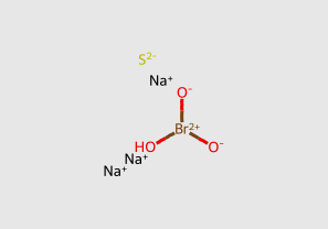 [Na+].[Na+].[Na+].[O-][Br+2]([O-])O.[S-2]